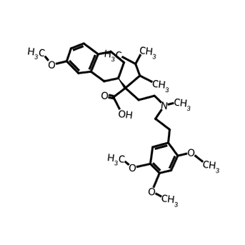 COc1ccc2c(c1)C[C@H](C(CCN(C)CCc1cc(OC)c(OC)cc1OC)(C(=O)O)C(C)C(C)C)CC2